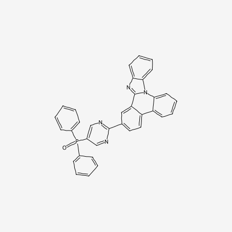 O=P(c1ccccc1)(c1ccccc1)c1cnc(-c2ccc3c4ccccc4n4c5ccccc5nc4c3c2)nc1